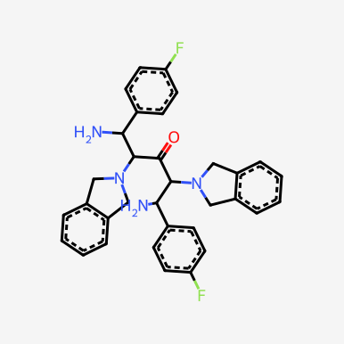 NC(c1ccc(F)cc1)C(C(=O)C(C(N)c1ccc(F)cc1)N1Cc2ccccc2C1)N1Cc2ccccc2C1